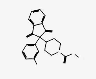 Cc1cccc(C2(C3CCN(C(=O)OC(C)(C)C)CC3)C(=O)c3ccccc3C2=O)c1